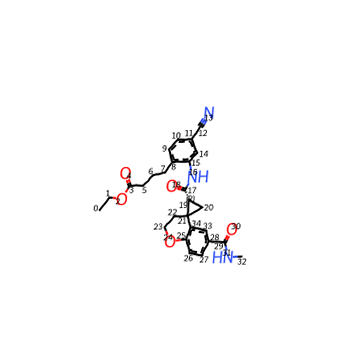 CCOC(=O)CCCc1ccc(C#N)cc1NC(=O)[C@@H]1CC12CCOc1ccc(C(=O)NC)cc12